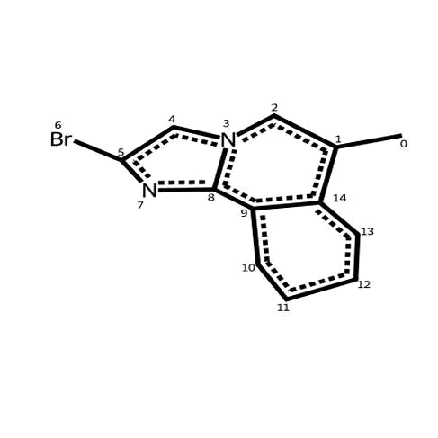 Cc1cn2cc(Br)nc2c2ccccc12